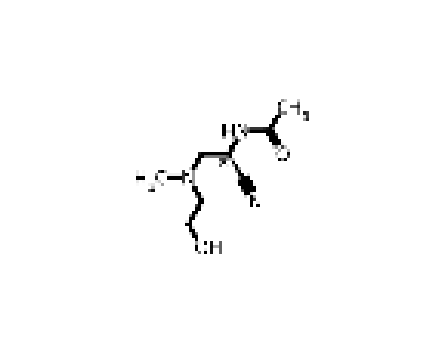 CC(=O)N[C@@H](C#N)CN(C)CCO